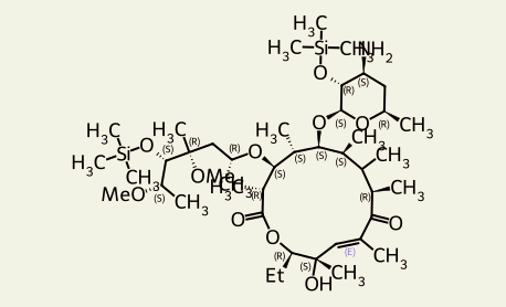 CC[C@H]1OC(=O)[C@H](C)[C@@H](O[C@H](C)C[C@@](C)(OC)[C@@H](O[Si](C)(C)C)[C@H](C)OC)[C@H](C)[C@@H](O[C@@H]2O[C@H](C)C[C@H](N)[C@H]2O[Si](C)(C)C)[C@@H](C)C(C)[C@@H](C)C(=O)/C(C)=C/[C@]1(C)O